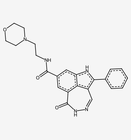 O=C(NCCN1CCOCC1)c1cc2c3c(c(-c4ccccc4)[nH]c3c1)C=NNC2=O